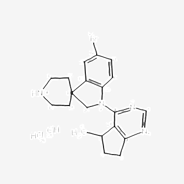 CC1CCc2ncnc(N3CC4(CCNCC4)c4cc(Br)ccc43)c21.Cl.Cl